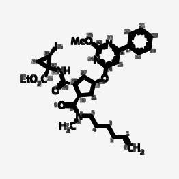 C=CCCCCN(C)C(=O)[C@@H]1C[C@H](Oc2cc(-c3ccccc3)nc(OC)n2)C[C@H]1C(=O)N[C@]1(C(=O)OCC)C[C@H]1I